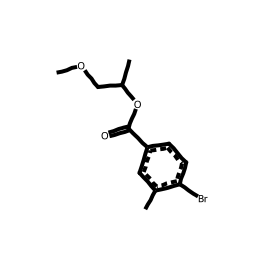 COCC(C)OC(=O)c1ccc(Br)c(C)c1